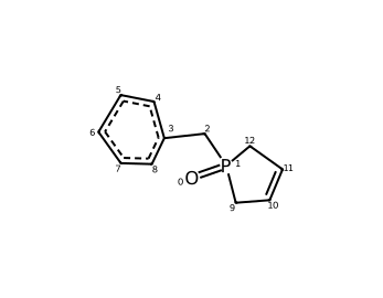 O=P1(Cc2ccccc2)CC=CC1